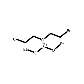 CCO[SiH2]OCC.ClCCOCCBr